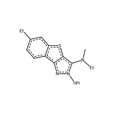 CCCn1nc2c(sc3cc(CC)ccc32)c1N(C)CC